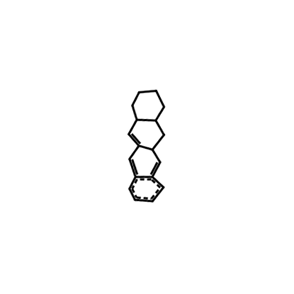 C1=C2C=c3ccccc3=CC2CC2CCCCC12